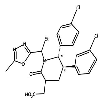 CCC(c1nnc(C)o1)N1C(=O)C(CC(=O)O)C[C@H](c2cccc(Cl)c2)[C@H]1c1ccc(Cl)cc1